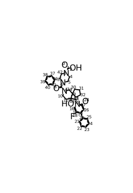 O=C(O)N1CCN(C(=O)N2CCC(O)(Cn3cc(F)c(-c4ccccc4)cc3=O)C3(CCCC3)C2)[C@H](c2ccccc2)C1